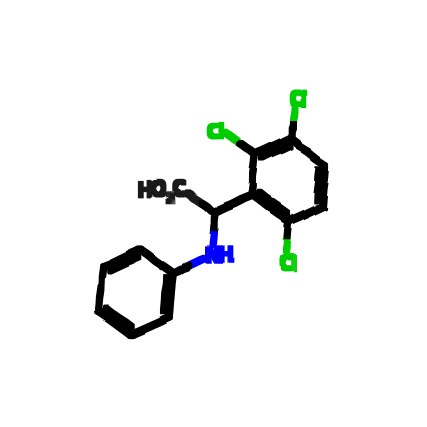 O=C(O)C(Nc1ccccc1)c1c(Cl)ccc(Cl)c1Cl